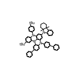 CC(C)(C)c1ccc(N2c3ccc(C(C)(C)C)cc3B3c4cc(-c5ccccc5)ccc4N(c4ccc(-c5ccccc5)cc4)c4cc(N5c6ccccc6C6(C)CCCCC56C)cc2c43)cc1